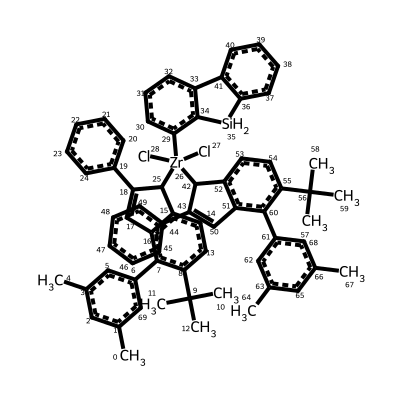 Cc1cc(C)cc(-c2c(C(C)(C)C)ccc3c2C=C(c2ccccc2)[CH]3[Zr]([Cl])([Cl])([c]2cccc3c2[SiH2]c2ccccc2-3)[CH]2C(c3ccccc3)=Cc3c2ccc(C(C)(C)C)c3-c2cc(C)cc(C)c2)c1